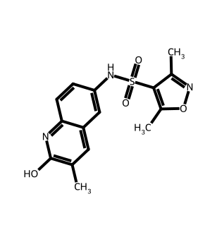 Cc1cc2cc(NS(=O)(=O)c3c(C)noc3C)ccc2nc1O